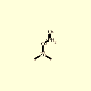 [CH3][Zn]([CH3])[O][PH2]=O